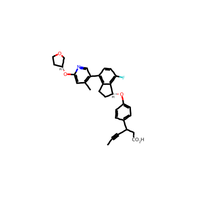 CC#CC(CC(=O)O)c1ccc(O[C@@H]2CCc3c(-c4cnc(O[C@@H]5CCOC5)cc4C)ccc(F)c32)cc1